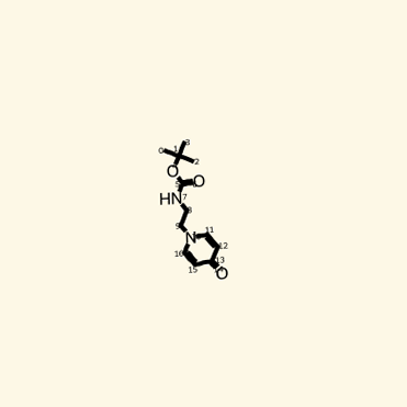 CC(C)(C)OC(=O)NCCn1ccc(=O)cc1